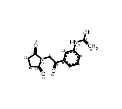 C=C(CC)Nc1cccc(C(=O)CN2C(=O)CCC2=O)c1